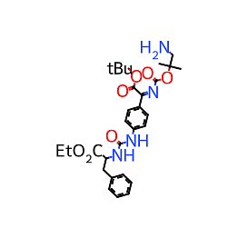 CCOC(=O)C(Cc1ccccc1)NC(=O)Nc1ccc(/C(=N/C(=O)OC(C)(C)CN)C(=O)OC(C)(C)C)cc1